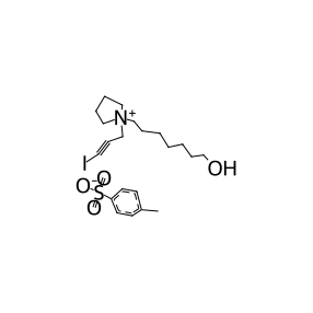 Cc1ccc(S(=O)(=O)[O-])cc1.OCCCCCCC[N+]1(CC#CI)CCCC1